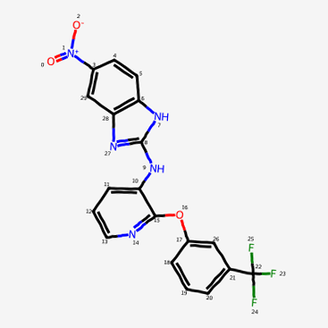 O=[N+]([O-])c1ccc2[nH]c(Nc3cccnc3Oc3cccc(C(F)(F)F)c3)nc2c1